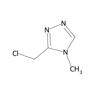 Cn1cnnc1CCl